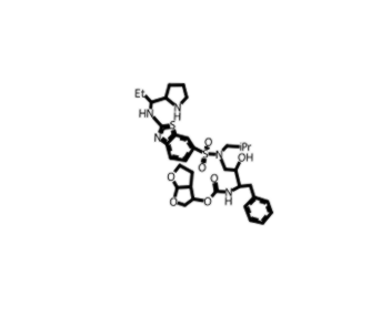 CCC(Nc1nc2ccc(S(=O)(=O)N(CC(C)C)CC(O)C(Cc3ccccc3)NC(=O)OC3COC4OCCC34)cc2s1)C1CCCN1